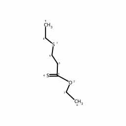 CCOC(=S)CCSCC